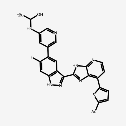 CC(=O)c1ccc(-c2ccnc3[nH]c(-c4n[nH]c5cc(F)c(-c6cncc(NC(O)C(C)(C)C)c6)cc45)nc23)s1